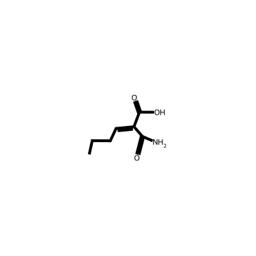 CCC/C=C(\C(N)=O)C(=O)O